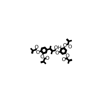 C=C(C)C(=O)Oc1cc(OC(=O)C(=C)C)cc(OC(O)/C(C)=C(\C)c2ccc(OC(=O)C(=C)C)c(OC(=O)C(=C)C)c2)c1